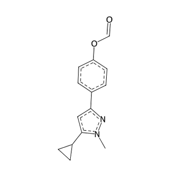 Cn1nc(-c2ccc(OC=O)cc2)cc1C1CC1